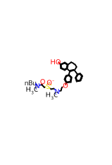 CCCCN(C)C(=O)C[S+]([O-])CCN(C)CCOc1ccc(C2=C(c3ccccc3)CCCc3cc(O)ccc32)cc1